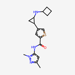 Cc1cc(NC(=O)c2cc(C3CC3NC3CCC3)cs2)n(C)n1